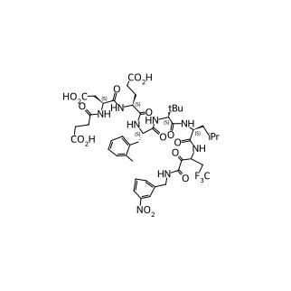 Cc1ccccc1C[C@H](NC(=O)[C@H](CCC(=O)O)NC(=O)[C@H](CC(=O)O)NC(=O)CCC(=O)O)C(=O)N[C@H](C(=O)N[C@@H](CC(C)C)C(=O)NC(CC(F)(F)F)C(=O)C(=O)NCc1cccc([N+](=O)[O-])c1)C(C)(C)C